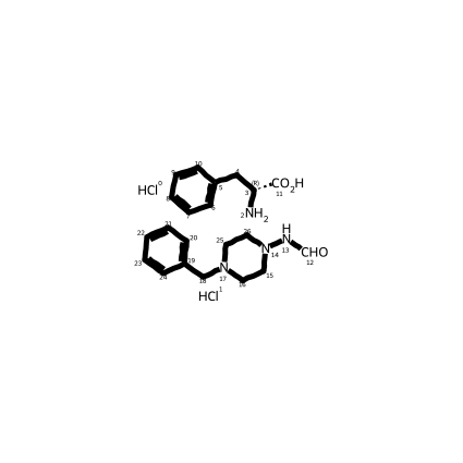 Cl.Cl.N[C@H](Cc1ccccc1)C(=O)O.O=CNN1CCN(Cc2ccccc2)CC1